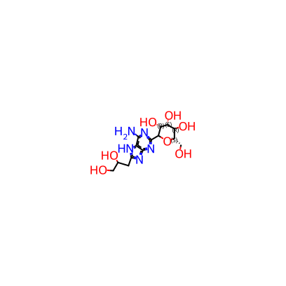 Nc1nc(C2O[C@@H](CO)[C@H](O)[C@@H](O)[C@H]2O)nc2nc(CC(O)CO)[nH]c12